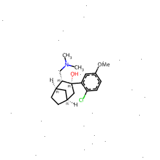 COc1ccc(Cl)c([C@@]2(O)C[C@H]3CC[C@H](C3)[C@@H]2CN(C)C)c1